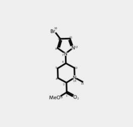 COC(=O)C1CCC(n2cc(Br)cn2)CN1C